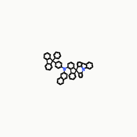 c1ccc(C2(c3ccc(N(c4ccc5ccccc5c4)c4cccc5c4-c4ccccc4C54c5ccccc5-n5c6ccccc6c6cccc4c65)cc3)c3ccccc3-c3ccccc32)cc1